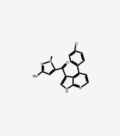 Cn1nc(C(C)(C)C)cc1C(=O)c1c[nH]c2nccc(-c3ccc(Cl)cc3)c12